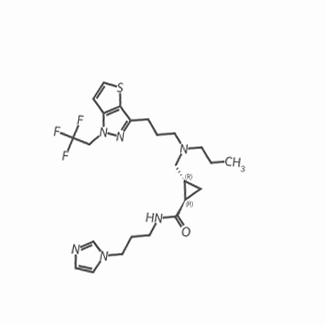 CCCN(CCCc1nn(CC(F)(F)F)c2ccsc12)C[C@@H]1C[C@H]1C(=O)NCCCn1ccnc1